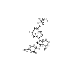 CC(C)(C)[C@H](NC(=O)c1nn(Cc2ccc(C#N)cc2F)c2c(F)cccc12)C(=O)NCCS(N)(=O)=O